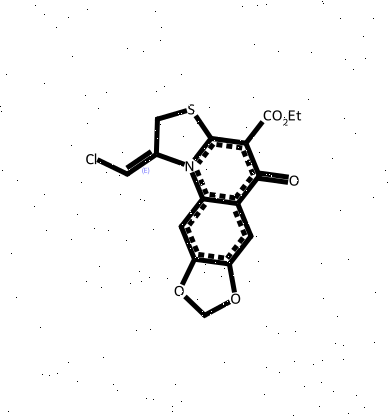 CCOC(=O)c1c2n(c3cc4c(cc3c1=O)OCO4)/C(=C/Cl)CS2